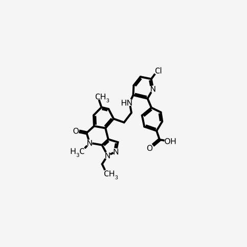 CCn1ncc2c3c(CCNc4ccc(Cl)nc4-c4ccc(C(=O)O)cc4)cc(C)cc3c(=O)n(C)c21